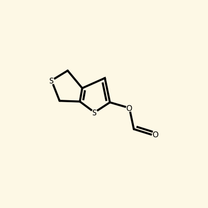 O=COc1cc2c(s1)CSC2